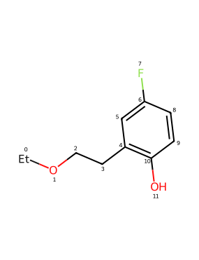 CCOCCc1cc(F)ccc1O